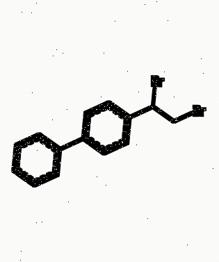 BrCC(Br)c1ccc(-c2ccccc2)cc1